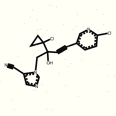 N#Cc1cncn1CC(O)(C#Cc1ccc(Cl)nc1)C1(Cl)CC1